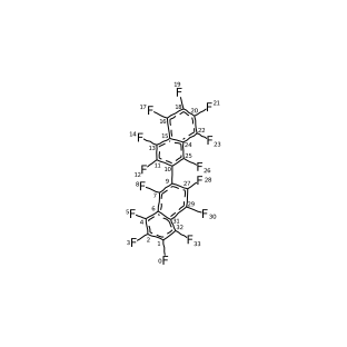 Fc1c(F)c(F)c2c(F)c(-c3c(F)c(F)c4c(F)c(F)c(F)c(F)c4c3F)c(F)c(F)c2c1F